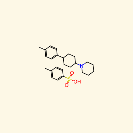 Cc1ccc(C2CCC(N3CCCCC3)CC2)cc1.Cc1ccc(S(=O)(=O)O)cc1